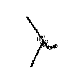 CCCCCCCCCCCCCCCCCC(=O)NCC(OC(=O)CCCCCCCCCCCCCCCCC)C(=O)OCCC(C)(C)OCCC(C)(C)OC